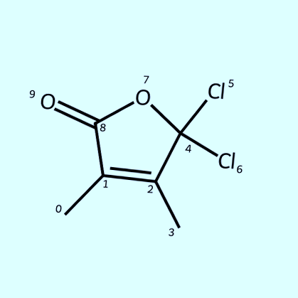 CC1=C(C)C(Cl)(Cl)OC1=O